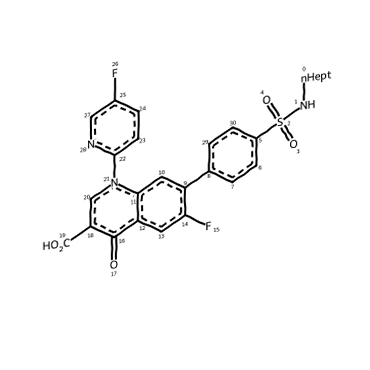 CCCCCCCNS(=O)(=O)c1ccc(-c2cc3c(cc2F)c(=O)c(C(=O)O)cn3-c2ccc(F)cn2)cc1